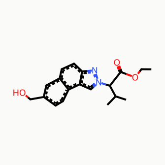 CCOC(=O)C(C(C)C)n1cc2c(ccc3cc(CO)ccc32)n1